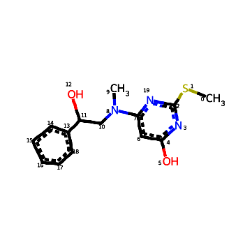 CSc1nc(O)cc(N(C)CC(O)c2ccccc2)n1